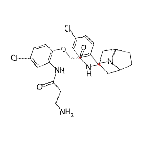 NCCC(=O)Nc1cc(Cl)ccc1OCC(=O)NC1CC2CCC(C1)N2Cc1ccc(Cl)cc1